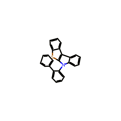 c1ccc(-c2ccccc2-n2c3ccccc3c3c4ccccc4sc32)cc1